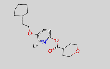 O=C(Oc1ccc(OCCC2CCCCC2)cn1)C1CCOCC1.[Li]